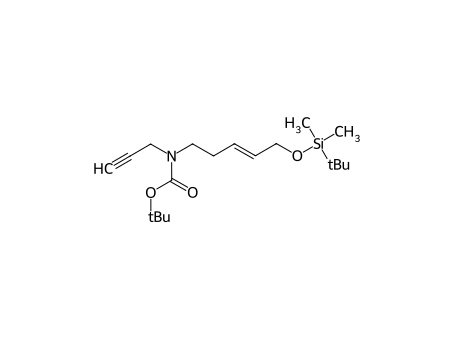 C#CCN(CC/C=C/CO[Si](C)(C)C(C)(C)C)C(=O)OC(C)(C)C